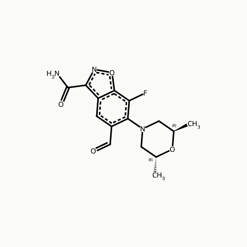 C[C@@H]1CN(c2c(C=O)cc3c(C(N)=O)noc3c2F)C[C@@H](C)O1